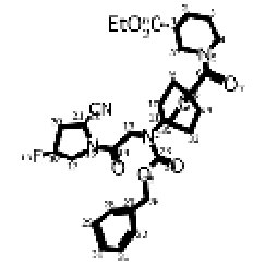 CCOC(=O)[C@@H]1CCCN(C(=O)C23CCC(N(CC(=O)N4C[C@@H](F)C[C@H]4C#N)C(=O)OCc4ccccc4)(CC2)CC3)C1